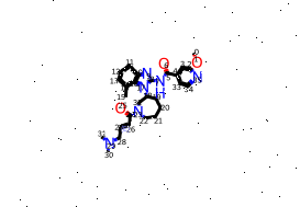 COc1cc(C(=O)Nc2nc3cccc(C)c3n2C2CCCCN(C(=O)/C=C/CN(C)C)C2)ccn1